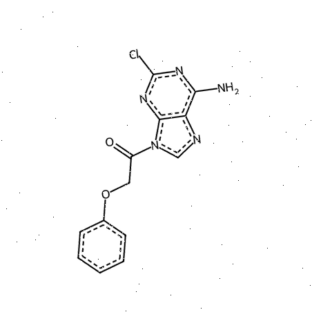 Nc1nc(Cl)nc2c1ncn2C(=O)COc1ccccc1